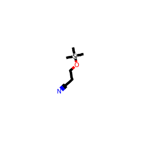 C[Si](C)(C)OCCC#N